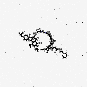 CC[C@H]1/C=C/OC(C)(C)Oc2c(C)c(O)c3c(c2C=O)C2=NC4(CCN(CC(C)I)CC4)NC2=C(NC(=O)/C(C)=C\C=C\[C@H](C)[C@H](O)[C@@H](C)[C@@H](O)[C@@H](C)[C@H](OC(=O)CC(=O)NCCN2CCOCC2)[C@@H]1C)C3=O